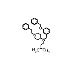 CC(C)CCN(Cc1cccc(OCc2ccccc2)c1)C1CCN(CCc2ccccc2)CC1